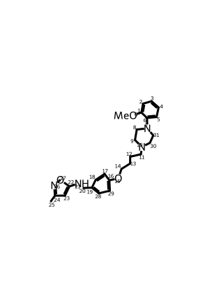 COc1ccccc1N1CCN(CCCCOc2ccc(CNc3cc(C)no3)cc2)CC1